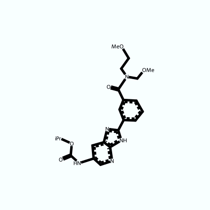 COCCN(COC)C(=O)c1cccc(-c2nc3cc(NC(=O)OC(C)C)cnc3[nH]2)c1